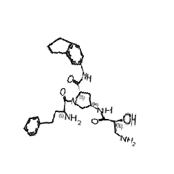 NC[C@H](O)C(=O)N[C@@H]1C[C@@H](C(=O)Nc2ccc3c(c2)CCC3)N(C(=O)[C@@H](N)CCc2ccccc2)C1